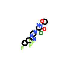 O=c1c(Cl)c(N2CCn3c(Cc4ccc(F)cc4C(F)(F)F)cnc3C2)cnn1C1CCCCO1